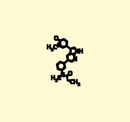 C=CC(=O)N(C)c1cccc(-c2cnc3[nH]cc(-c4ccc(=O)n(C)c4)c3c2)c1